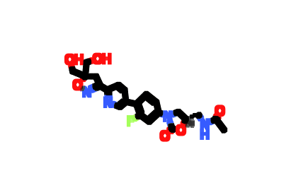 CC(=O)NC[C@H]1CN(c2ccc(-c3ccc(C4=NOC(CO)(CO)C4)nc3)c(F)c2)C(=O)O1